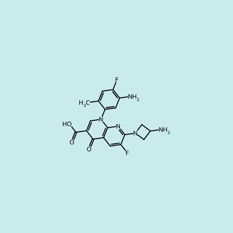 Cc1cc(F)c(N)cc1-n1cc(C(=O)O)c(=O)c2cc(F)c(N3CC(N)C3)nc21